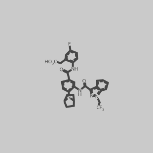 O=C(O)Cc1cc(F)ccc1NC(=O)c1ccc(N2C3CCC2CC3)c(NC(=O)c2nn(CC(F)(F)F)c3ccccc23)c1